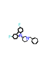 Fc1ccc2c(c1)c1cc(F)ccc1n2[C@H]1CCCN(CC2=CCC=CC=C2)C1